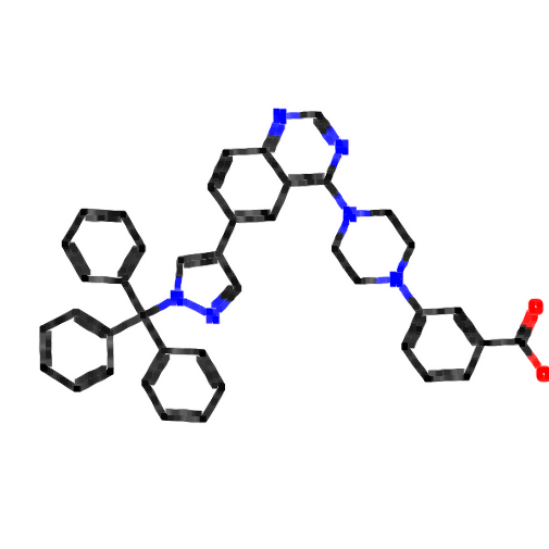 O=C(O)c1cccc(N2CCN(c3ncnc4ccc(-c5cnn(C(c6ccccc6)(c6ccccc6)c6ccccc6)c5)cc34)CC2)c1